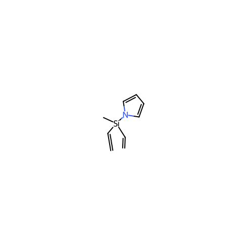 C=C[Si](C)(C=C)n1cccc1